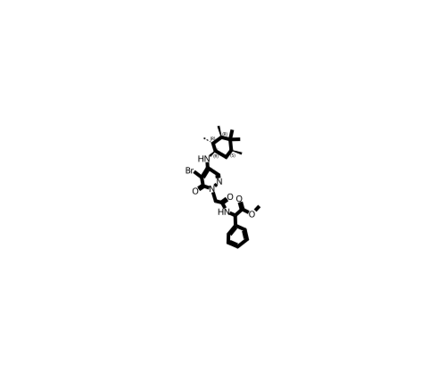 COC(=O)C(NC(=O)Cn1ncc(N[C@@H]2C[C@H](C)C(C)(C)[C@H](C)[C@H]2C)c(Br)c1=O)c1ccccc1